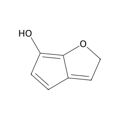 OC1=C2OCC=C2C=C1